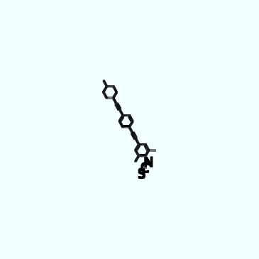 Cc1cc(C#Cc2ccc(C#CC3CCC(C)CC3)cc2)cc(C)c1N=C=S